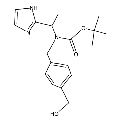 CC(c1ncc[nH]1)N(Cc1ccc(CO)cc1)C(=O)OC(C)(C)C